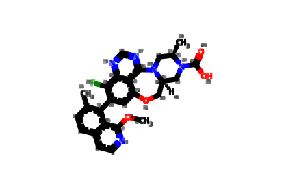 COc1nccc2ccc(C)c(-c3cc4c5c(ncnc5c3F)N3C[C@@H](C)N(C(=O)O)C[C@H]3CO4)c12